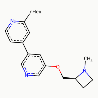 CCCCCCc1cc(-c2cncc(OC[C@@H]3CCN3C)c2)ccn1